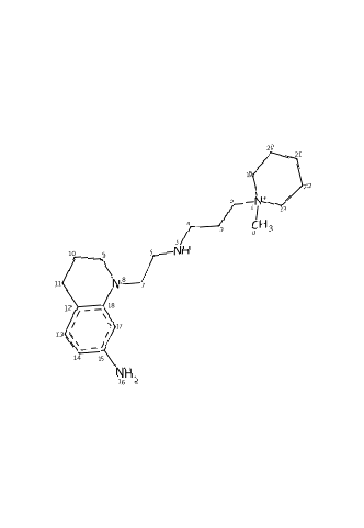 C[N+]1(CCCNCCN2CCCc3ccc(N)cc32)CCCCC1